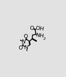 C=C(CC(N)C(=O)O)c1cn(C)c(=O)n(C)c1=O